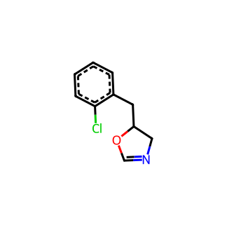 Clc1ccccc1CC1CN=CO1